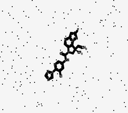 C=C[C@@]1(C(F)(F)F)CN(C(=O)Nc2cnc(-n3cncn3)c(Cl)c2)c2cnc3cc(F)nn3c21